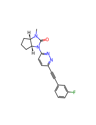 CN1C(=O)N(c2ccc(C#Cc3cccc(F)c3)nn2)[C@@H]2CCC[C@@H]21